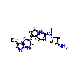 CCc1cnc2ncc(-c3ccn4nc(N[C@H]5C[C@@H](N)C5)ncc34)cn12